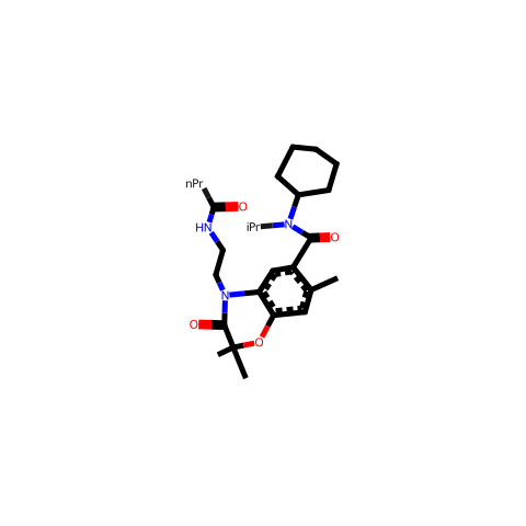 CCCC(=O)NCCN1C(=O)C(C)(C)Oc2cc(C)c(C(=O)N(C(C)C)C3CCCCC3)cc21